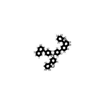 c1ccc2c(-c3ccc(N(c4ccc(-c5ccc6ccc7sc8ccccc8c7c6c5)cc4)c4ccc5oc6ccccc6c5c4)cc3)cccc2c1